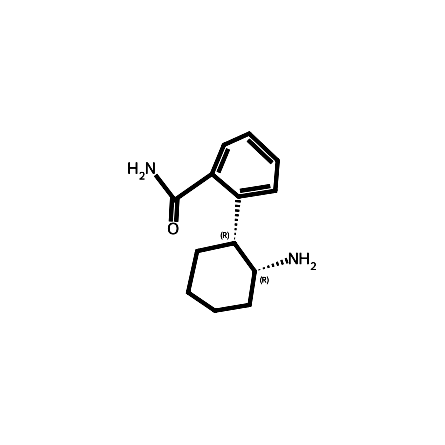 NC(=O)c1ccccc1[C@H]1CCCC[C@H]1N